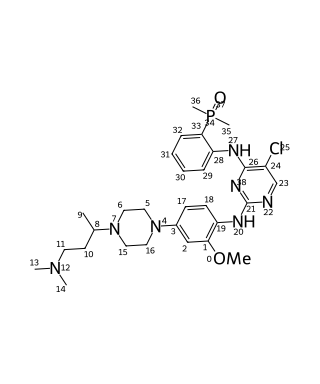 COc1cc(N2CCN(C(C)CCN(C)C)CC2)ccc1Nc1ncc(Cl)c(Nc2ccccc2P(C)(C)=O)n1